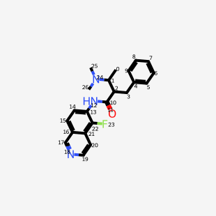 CC(C(Cc1ccccc1)C(=O)Nc1ccc2cnccc2c1F)N(C)C